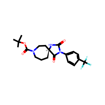 CC(C)(C)OC(=O)N1CCC[C@@]2(CC1)NC(=O)N(c1ccc(C(F)(F)F)cc1)C2=O